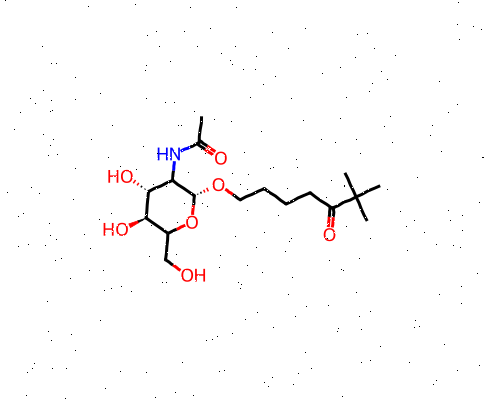 CC(=O)NC1[C@H](OCCCCC(=O)C(C)(C)C)OC(CO)[C@@H](O)[C@@H]1O